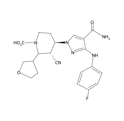 N#C[C@@H]1C(C2CCOC2)N(C(=O)O)CC[C@H]1n1cc(C(N)=O)c(Nc2ccc(F)cc2)n1